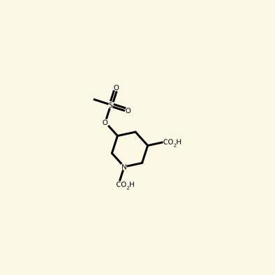 CS(=O)(=O)OC1CC(C(=O)O)CN(C(=O)O)C1